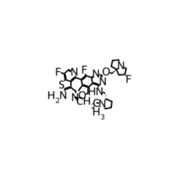 C=NCc1c(N)sc2c(F)cnc(-c3c4c(c5c(NC[C@@H]6CCCN6C)nc(OC[C@@]67CCCN6C[C@H](F)C7)nc5c3F)COC4)c12